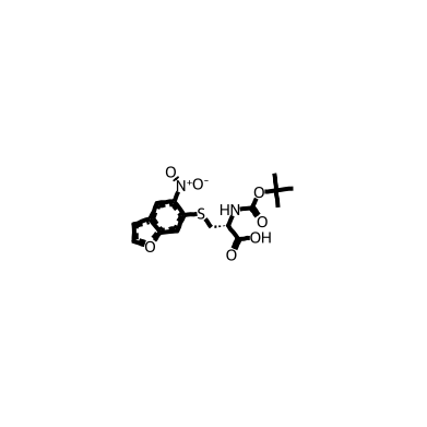 CC(C)(C)OC(=O)N[C@@H](CSc1cc2occc2cc1[N+](=O)[O-])C(=O)O